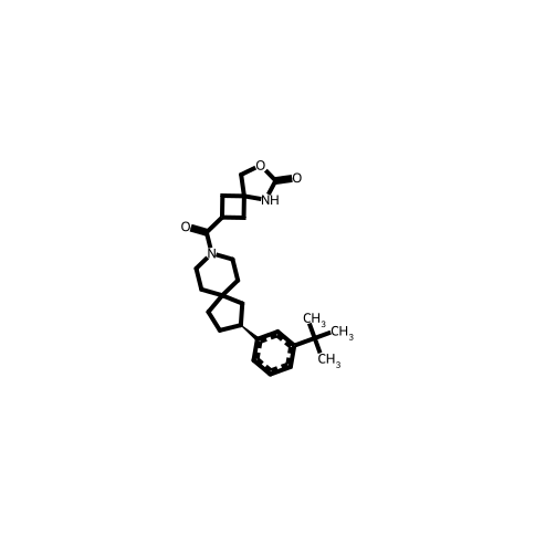 CC(C)(C)c1cccc([C@H]2CCC3(CCN(C(=O)C4CC5(COC(=O)N5)C4)CC3)C2)c1